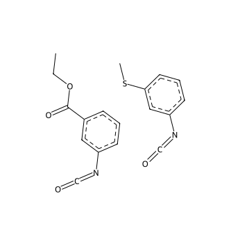 CCOC(=O)c1cccc(N=C=O)c1.CSc1cccc(N=C=O)c1